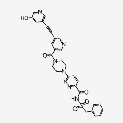 O=C(NS(=O)(=O)Cc1ccccc1)c1ccc(N2CCN(C(=O)c3cncc(C#Cc4cncc(O)c4)c3)CC2)nn1